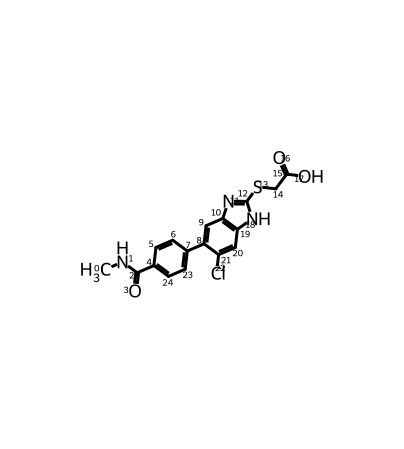 CNC(=O)c1ccc(-c2cc3nc(SCC(=O)O)[nH]c3cc2Cl)cc1